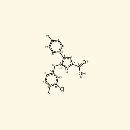 Cc1ccc(-c2cc(C(=O)O)nn2Cc2ccc(C)c(Cl)c2)cc1